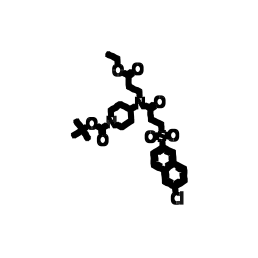 CCOC(=O)CCN(C(=O)CCS(=O)(=O)c1ccc2cc(Cl)ccc2c1)C1CCN(C(=O)OC(C)(C)C)CC1